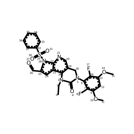 CCN1C(=O)N(c2c(F)c(OC)cc(OC)c2F)Cc2cnc3c(cc(C=O)n3S(=O)(=O)c3ccccc3)c21